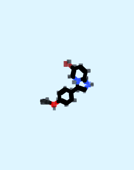 CC(C)(C)Oc1ccc(-c2cnc3ccc(Br)cn23)cc1